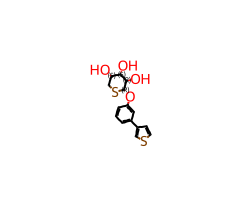 O[C@@H]1[C@@H](O)[C@H](Oc2cccc(-c3ccsc3)c2)SC[C@H]1O